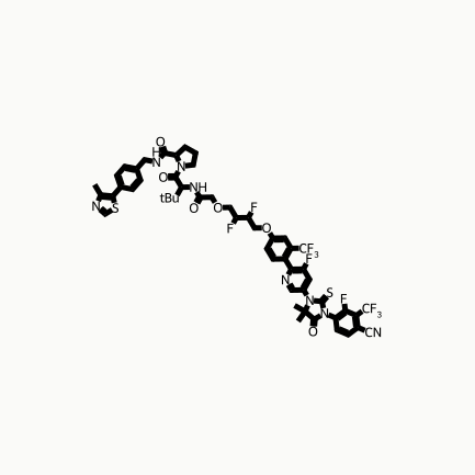 Cc1ncsc1-c1ccc(CNC(=O)C2CCCN2C(=O)C(NC(=O)COCC(F)C(F)COc2ccc(-c3ncc(N4C(=S)N(c5ccc(C#N)c(C(F)(F)F)c5F)C(=O)C4(C)C)cc3F)c(C(F)(F)F)c2)C(C)(C)C)cc1